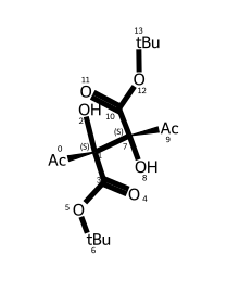 CC(=O)[C@](O)(C(=O)OC(C)(C)C)[C@](O)(C(C)=O)C(=O)OC(C)(C)C